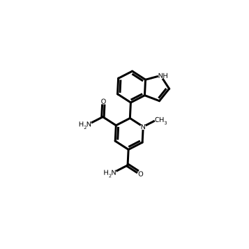 CN1C=C(C(N)=O)C=C(C(N)=O)C1c1cccc2[nH]ccc12